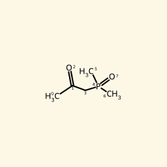 CC(=O)CP(C)(C)=O